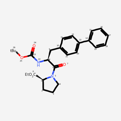 CCOC(=O)[C@@H]1CCCN1C(=O)[C@H](Cc1ccc(-c2ccccc2)cc1)NC(=O)OC(C)(C)C